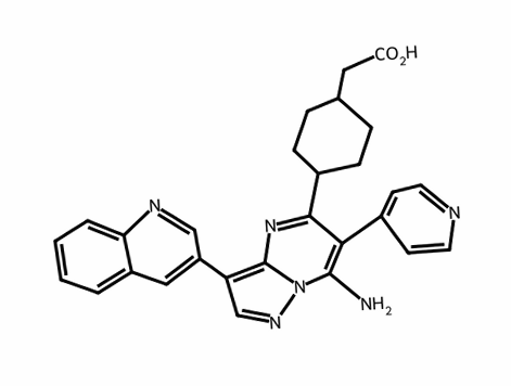 Nc1c(-c2ccncc2)c(C2CCC(CC(=O)O)CC2)nc2c(-c3cnc4ccccc4c3)cnn12